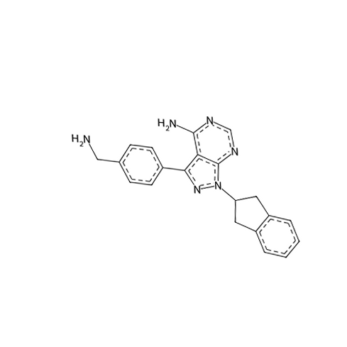 NCc1ccc(-c2nn(C3Cc4ccccc4C3)c3ncnc(N)c23)cc1